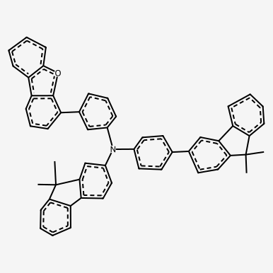 CC1(C)c2ccccc2-c2cc(-c3ccc(N(c4cccc(-c5cccc6c5oc5ccccc56)c4)c4ccc5c(c4)C(C)(C)c4ccccc4-5)cc3)ccc21